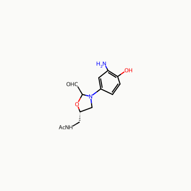 CC(=O)NC[C@H]1CN(c2ccc(O)c(N)c2)C(C=O)O1